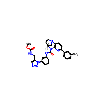 CC(C)(C)OC(=O)NCc1cnnn1-c1cccc(NC(=O)N2c3nc(-c4cccc(C(F)(F)F)c4)ccc3N3CC[C@H]2C3)c1